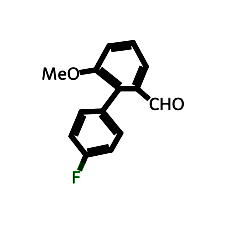 COc1cccc(C=O)c1-c1ccc(F)cc1